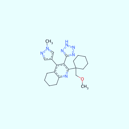 COCC1(c2nc3c(c(-c4cnn(C)c4)c2-c2nn[nH]n2)CCCC3)CCCCC1